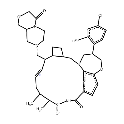 CCCc1cc(Cl)ccc1C1COc2ccc3cc2N(C1)CC1CCC1C(CN1CCN2C(=O)COCC2C1)/C=C/CC(C)C(C)[S+]([O-])NC3=O